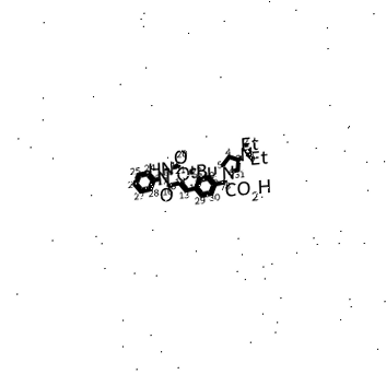 CCN(CC)C1CCN(C(C(=O)O)c2ccc(C=CC(=O)N(NC(=O)OC(C)(C)C)c3ccccc3)cc2)C1